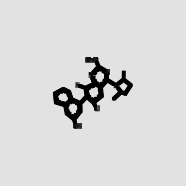 COc1nc(N2C(C)CCC2C)c2cc(Cl)c(-c3cc(O)cc4ccccc34)c(F)c2n1